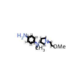 COCCN1CC[C@@H](N(C)c2ccc(N)cc2)C1